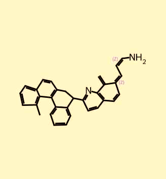 C=c1/c(=C\C=C/N)ccc2ccc(C3Cc4ccc5cccc(C)c5c4-c4ccccc43)nc12